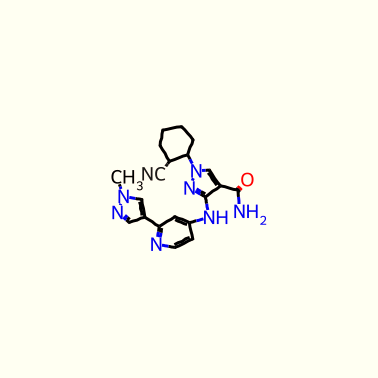 Cn1cc(-c2cc(Nc3nn(C4CCCCC4C#N)cc3C(N)=O)ccn2)cn1